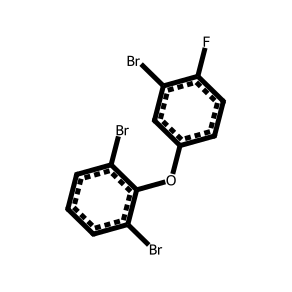 Fc1ccc(Oc2c(Br)cccc2Br)cc1Br